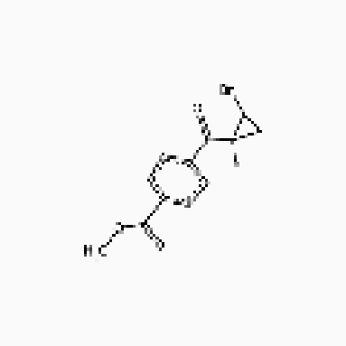 COC(=O)c1ccc(C(=O)C2(F)CC2Br)cc1